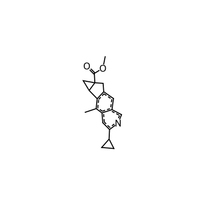 COC(=O)C12Cc3cc4cnc(C5CC5)cc4c(C)c3C1C2